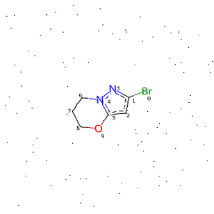 Brc1cc2n(n1)CCCO2